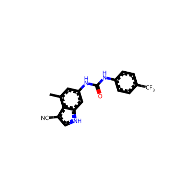 Cc1cc(NC(=O)Nc2ccc(C(F)(F)F)cc2)cc2[nH]cc(C#N)c12